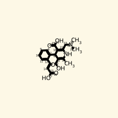 CC1=C(C(=O)O)C(c2ccccc2C=CC(=O)O)C(C(=O)O)=C(CN(C)C)N1